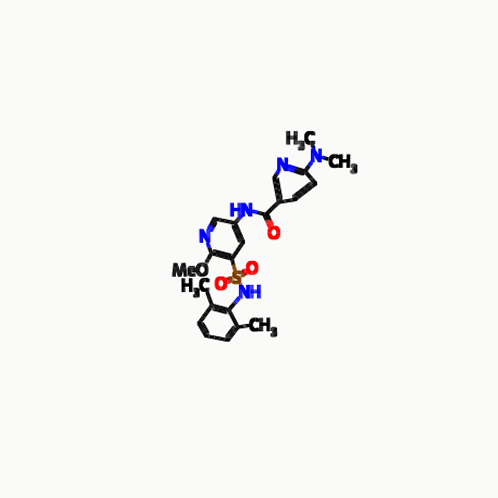 COc1ncc(NC(=O)c2ccc(N(C)C)nc2)cc1S(=O)(=O)Nc1c(C)cccc1C